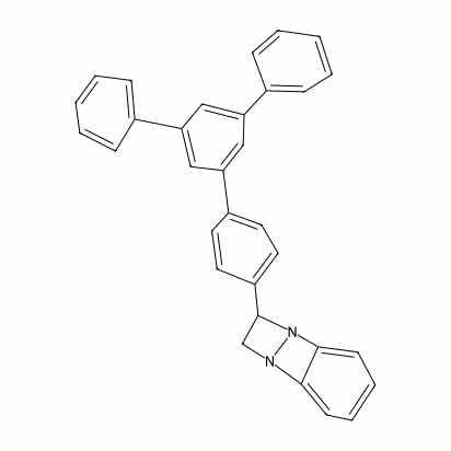 c1ccc(-c2cc(-c3ccccc3)cc(-c3ccc(C4Cn5c6ccccc6n54)cc3)c2)cc1